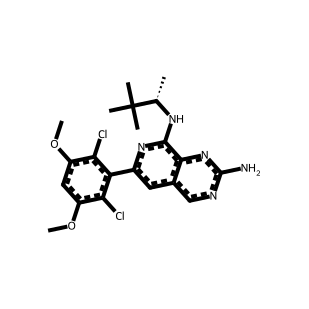 COc1cc(OC)c(Cl)c(-c2cc3cnc(N)nc3c(N[C@@H](C)C(C)(C)C)n2)c1Cl